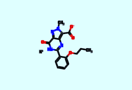 CCCOc1ccccc1-c1nc2c(C(=O)[O-])n(C)nc2c(=O)[nH]1.[K+]